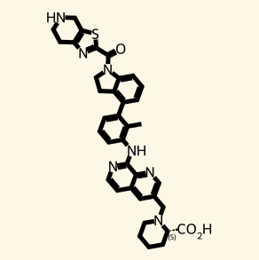 Cc1c(Nc2nccc3cc(CN4CCCC[C@H]4C(=O)O)cnc23)cccc1-c1cccc2c1CCN2C(=O)c1nc2c(s1)CNCC2